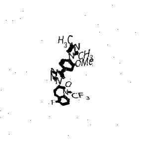 COc1cc(-c2cn([C@H]3CCc4c(F)cccc4N(CC(F)(F)F)C3=O)nn2)ccc1-n1cc(C)nc1C